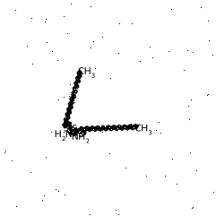 CCCCCCCCCCCCCCCCCCCCc1csc(-c2sc(-c3cc(CCCCCCCCCCCCCCCCCCCC)cs3)c(N)c2N)c1